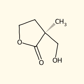 C[C@@]1(CO)CCOC1=O